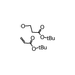 C=CC(=O)OC(C)(C)C.CC(C)(C)OC(=O)CC[O]